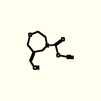 CC(C)(C)OC(=O)N1CCOC/C(=C/C#N)C1